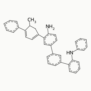 CC1CC(c2cc(-c3cccc(-c4ccccc4Nc4ccccc4)c3)ccc2N)=CC=C1c1ccccc1